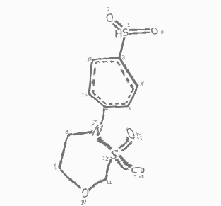 O=[SH](=O)c1ccc(N2CCOCS2(=O)=O)cc1